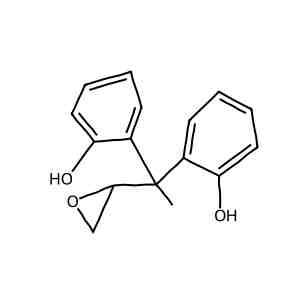 CC(c1ccccc1O)(c1ccccc1O)C1CO1